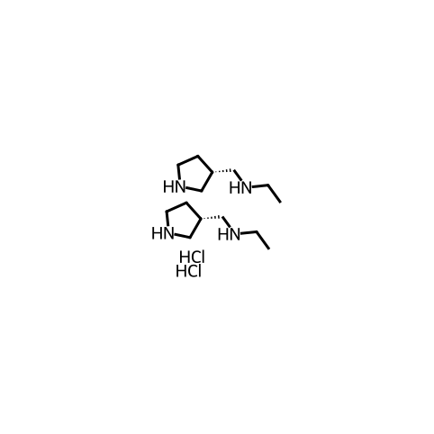 CCNC[C@H]1CCNC1.CCNC[C@H]1CCNC1.Cl.Cl